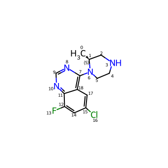 C[C@H]1CNCCN1c1ncnc2c(F)cc(Cl)cc12